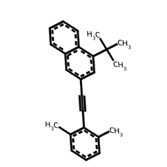 Cc1cccc(C)c1C#Cc1cc(C(C)(C)C)c2ccccc2c1